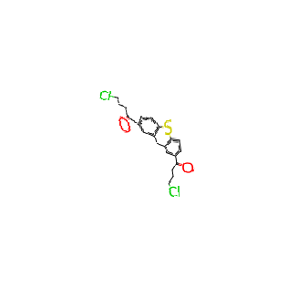 O=C(CCCCl)c1ccc2c(c1)Cc1cc(C(=O)CCCCl)ccc1S2